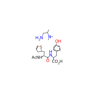 CC(=O)N[C@@H](CC1CC=CS1)C(=O)N[C@@H](Cc1ccc(O)cc1)C(=O)O.CC(CN)N(C)C